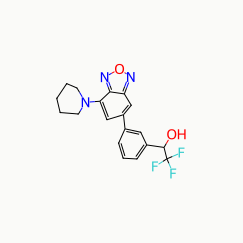 OC(c1cccc(-c2cc(N3CCCCC3)c3nonc3c2)c1)C(F)(F)F